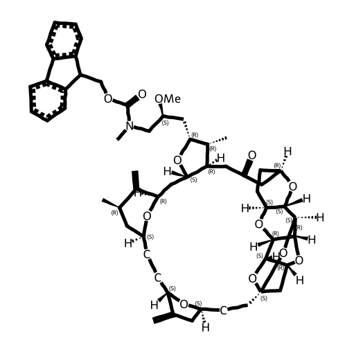 C=C1C[C@@H]2CC[C@@]34C[C@H]5O[C@H]6[C@@H](O3)[C@H]3O[C@H](CC[C@@H]3O[C@H]6[C@H]5O4)CC(=O)C[C@@H]3[C@@H](C)[C@@H](C[C@@H](CN(C)C(=O)OCC4c5ccccc5-c5ccccc54)OC)O[C@H]3C[C@H]3O[C@@H](CC[C@@H]1O2)C[C@@H](C)C3=C